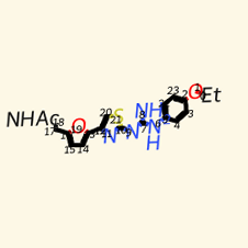 CCOc1ccc(N/C(N)=N/c2nc(-c3ccc(CNC(C)=O)o3)cs2)cc1